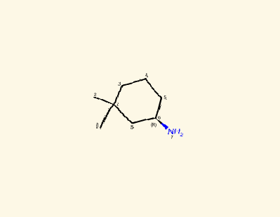 CC1(C)CCC[C@@H](N)C1